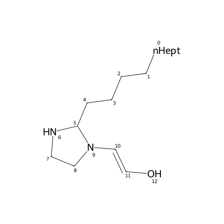 CCCCCCCCCCCC1NCCN1C=CO